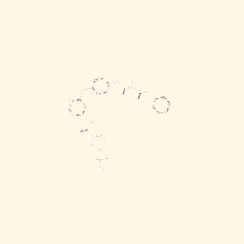 CC(C)(N)[C@H]1CCN(C(=O)Nc2cc(Oc3ccc(NC(=S)NC(=O)Cc4ccc(F)cc4)cc3F)ncn2)C1